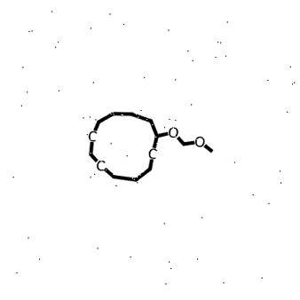 COCOC1CCCCCCCCCCC1